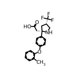 Cc1ccccc1Oc1ccc([C@@]2(CC(=O)O)C[C@H](C(F)(F)F)CN2)cc1